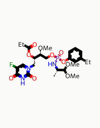 CCC(=O)O[C@@H](Cn1cc(F)c(=O)[nH]c1=O)[C@@H](COP(=O)(N[C@@H](C)C(OC)OC)Oc1cccc(CC)c1)OC